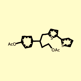 CC(=O)OCCC(Cc1ccc(-c2cccs2)s1)c1ccc(OC(C)=O)cc1